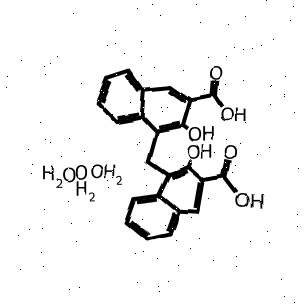 O.O.O.O=C(O)c1cc2ccccc2c(Cc2c(O)c(C(=O)O)cc3ccccc23)c1O